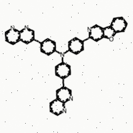 c1cnc2ncc(-c3ccc(N(c4ccc(-c5cnc6ncccc6c5)cc4)c4ccc(-c5cc6oc7ccccc7c6cn5)cc4)cc3)cc2c1